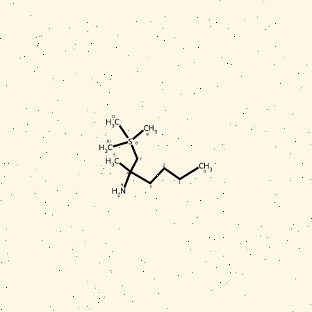 CCCCC(C)(N)CS(C)(C)C